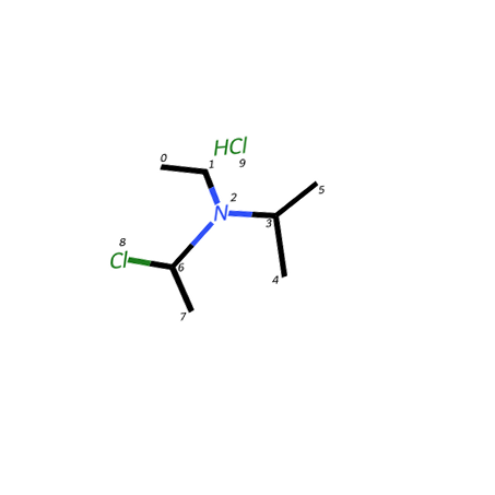 CCN(C(C)C)C(C)Cl.Cl